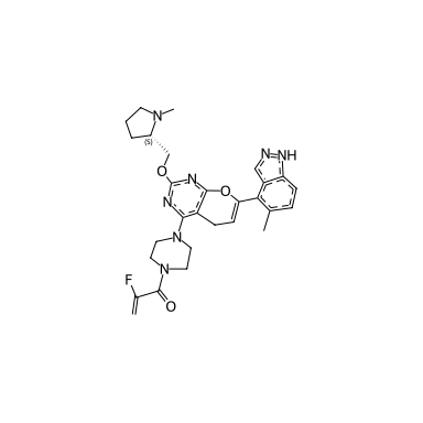 C=C(F)C(=O)N1CCN(c2nc(OC[C@@H]3CCCN3C)nc3c2CC=C(c2c(C)ccc4[nH]ncc24)O3)CC1